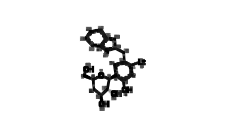 CCc1cc(O)c([C@@H]2O[C@H](CO)C[C@H](O)[C@H]2O)cc1Cc1cc2ccccc2s1